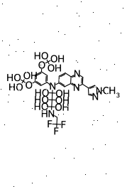 Cn1cc(-c2cnc3ccc(N(c4cc(OC(O)(O)O)cc(OC(O)(O)O)c4)C(O)(O)C(O)(O)C(O)(O)NCC(F)(F)F)cc3n2)cn1